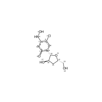 O=c1nc(NO)c(Cl)cn1[C@@H]1O[C@H](CO)C[C@H]1O